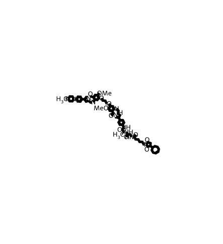 COc1cc2c(cc1OCCCOc1cc3c(cc1OC)C(=O)N1C=C(c4ccc(NC(=O)[C@H](C)NC(=O)CNC(=O)CCCCCN5C(=O)CC(C6CC/C=C\CCC6)C5=O)cc4)C[C@H]1C=N3)N=CC1CC(c3ccc(N4CCN(C)CC4)cc3)=CN1C2=O